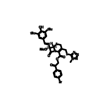 CO[C@@]1(N=Cc2cc(C(C)(C)C)c(O)c(C(C)(C)C)c2)C(=O)N2C(C(=O)OCC(=O)c3ccc(Br)cc3)=C(CSc3nnnn3C)CS[C@H]21